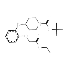 CCOC(=O)COc1ccccc1NC1CCN(C(=O)OC(C)(C)C)CC1